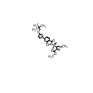 COC(=O)c1nn(C)cc1S(=O)(=O)NC(=O)c1ccc(-n2ccc(OCC(C)(C)C)n2)nc1Cl